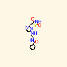 O=C1NC(=O)C(=Cc2nccc(NCCNC(=O)c3ccccc3)n2)S1